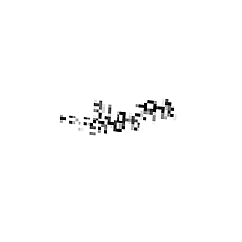 Cc1nsc(-c2ccc(C)c(NCC(=O)N3CCc4c(NC(=O)C(O)C(O)C(=O)O)cccc43)c2)n1